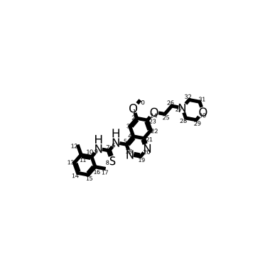 COc1cc2c(NC(=S)Nc3c(C)cccc3C)ncnc2cc1OCCN1CCOCC1